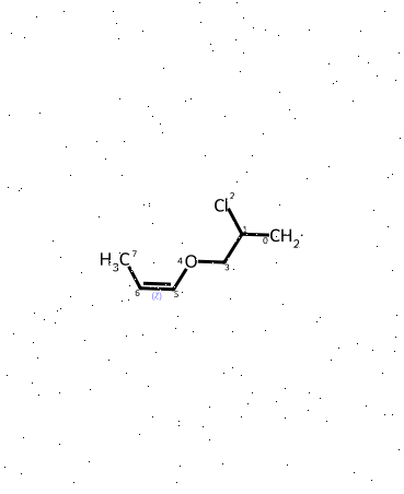 [CH2]C(Cl)CO/C=C\C